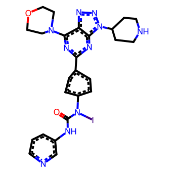 O=C(Nc1cccnc1)N(I)c1ccc(-c2nc(N3CCOCC3)c3nnn(C4CCNCC4)c3n2)cc1